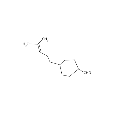 CC(C)=CCCC1CCC(C=O)CC1